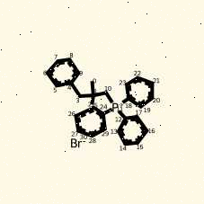 CC(C)(Cc1ccccc1)C[P+](c1ccccc1)(c1ccccc1)c1ccccc1.[Br-]